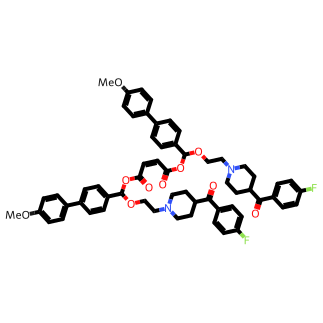 COc1ccc(-c2ccc(C(OCCN3CCC(C(=O)c4ccc(F)cc4)CC3)OC(=O)/C=C\C(=O)OC(OCCN3CCC(C(=O)c4ccc(F)cc4)CC3)c3ccc(-c4ccc(OC)cc4)cc3)cc2)cc1